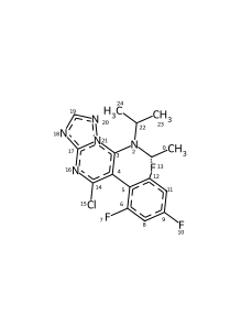 CCN(c1c(-c2c(F)cc(F)cc2F)c(Cl)nc2ncnn12)C(C)C